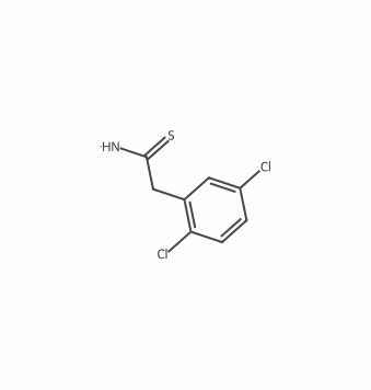 [NH]C(=S)Cc1cc(Cl)ccc1Cl